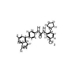 Cc1cc(-c2ccc(NC(=O)Nc3cc(C(F)(F)F)ccc3N3CCCC3)cc2)c2cnn(C)c2n1